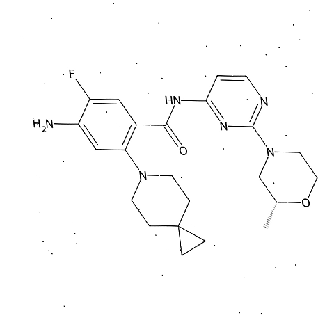 C[C@@H]1CN(c2nccc(NC(=O)c3cc(F)c(N)cc3N3CCC4(CC3)CC4)n2)CCO1